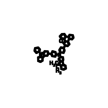 CC1(C)c2ccccc2-c2ccc(N(c3ccc(-c4ccc5c(c4)c4ccccc4n5-c4ccccc4)cc3)c3ccc(-c4ccc5c6ccccc6c6cccc7oc4c5c76)cc3)cc21